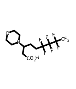 O=C(O)CC(CCC(F)(F)C(F)(F)C(F)(F)C(F)(F)F)N1CCOCC1